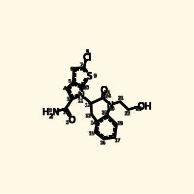 NC(=O)c1cc2cc(Cl)sc2n1C1Cc2ccccc2N(CCO)C1=O